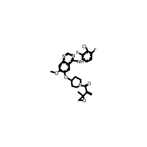 C=C(C(=O)N1CCC(Oc2cc3c(Nc4ccc(F)c(Cl)c4F)ncnc3cc2OC)CC1)C1(C)CO1